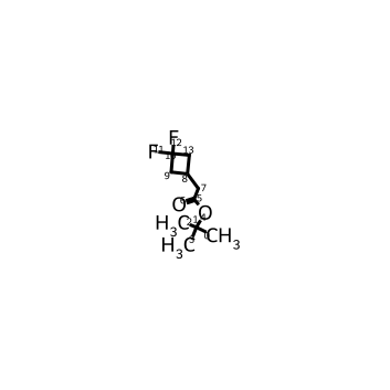 CC(C)(C)OC(=O)CC1CC(F)(F)C1